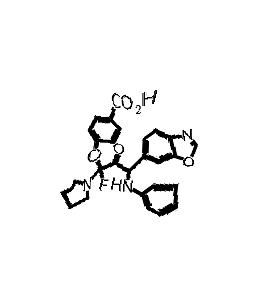 O=C(O)c1ccc(OC(F)(C(=O)C(Nc2ccccc2)c2ccc3ncoc3c2)N2CCCC2)cc1